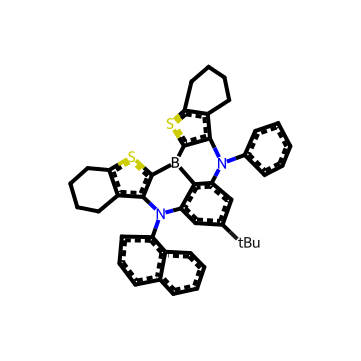 CC(C)(C)c1cc2c3c(c1)N(c1cccc4ccccc14)c1c(sc4c1CCCC4)B3c1sc3c(c1N2c1ccccc1)CCCC3